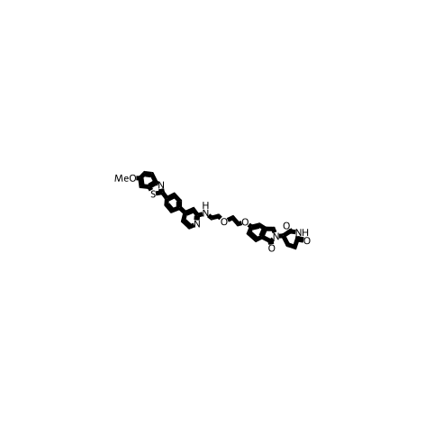 COc1ccc2nc(-c3ccc(-c4ccnc(NCCOCCOc5ccc6c(c5)CN(C5CCC(=O)NC5=O)C6=O)c4)cc3)sc2c1